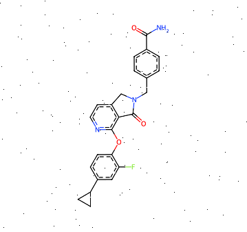 NC(=O)c1ccc(CN2Cc3ccnc(Oc4ccc(C5CC5)cc4F)c3C2=O)cc1